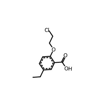 CCc1ccc(OCCCl)c(C(=O)O)c1